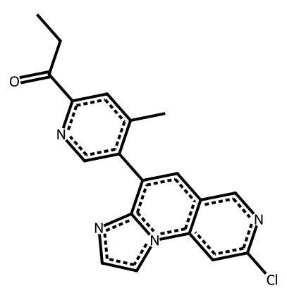 CCC(=O)c1cc(C)c(-c2cc3cnc(Cl)cc3n3ccnc23)cn1